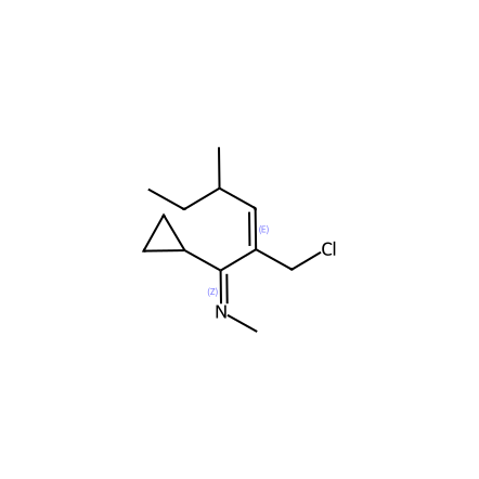 CCC(C)/C=C(CCl)\C(=N/C)C1CC1